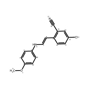 COc1ccc(NC=Cc2ccc(Cl)[c]c2C#N)cc1